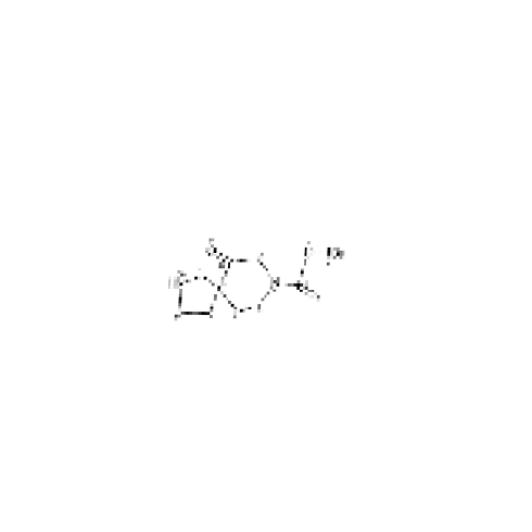 CC(C)(C)OC(=O)N1CCC2(CCNC2)C(=O)C1